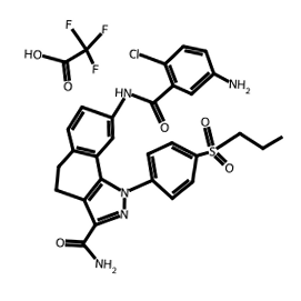 CCCS(=O)(=O)c1ccc(-n2nc(C(N)=O)c3c2-c2cc(NC(=O)c4cc(N)ccc4Cl)ccc2CC3)cc1.O=C(O)C(F)(F)F